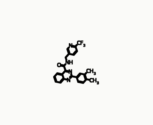 Cc1ccc(-c2nc(C(=O)NCc3ccc(C(F)(F)F)nc3)c3ccccc3n2)cc1C